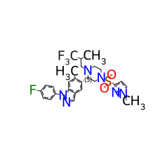 Cc1cc2c(cnn2-c2ccc(F)cc2)cc1[C@H]1CN(S(=O)(=O)c2ccn(C)n2)CCN1CC(C)C(F)(F)F